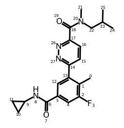 Cc1c(F)cc(C(=O)NC2CC2)cc1-c1ccc(C(=O)N(C)CC(C)C)nn1